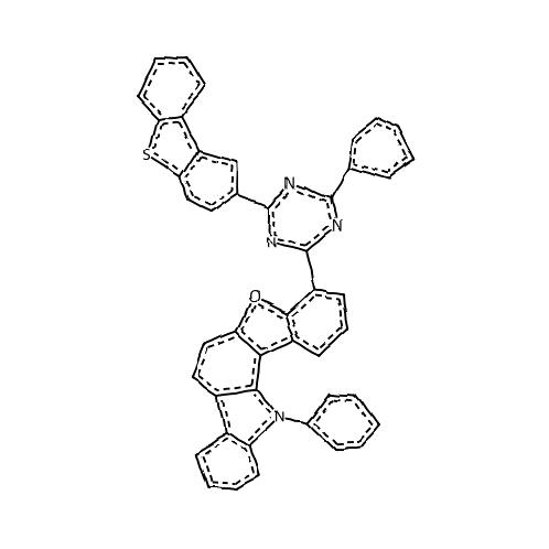 c1ccc(-c2nc(-c3ccc4sc5ccccc5c4c3)nc(-c3cccc4c3oc3ccc5c6ccccc6n(-c6ccccc6)c5c34)n2)cc1